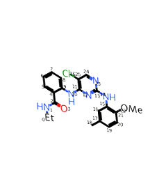 CCNC(=O)c1ccccc1Nc1nc(Nc2cc(C)ccc2OC)ncc1Cl